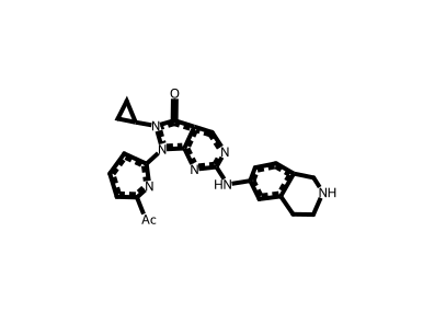 CC(=O)c1cccc(-n2c3nc(Nc4ccc5c(c4)CCNC5)ncc3c(=O)n2C2CC2)n1